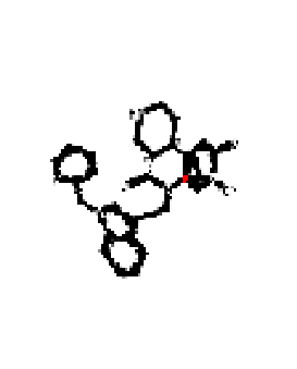 Cn1ccc([C@@H]2CCNC[C@H]2C(=O)N(Cc2cn(Cc3ccccn3)c3ccccc23)C2CC2)cc1=O